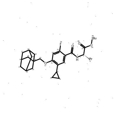 CC(C)[C@H](NC(=O)c1cc(C2CC2)c(OCC23CC4CC(CC(C4)C2)C3)cc1F)C(=O)OC(C)(C)C